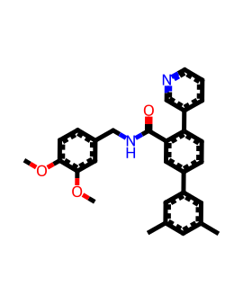 COc1ccc(CNC(=O)c2cc(-c3cc(C)cc(C)c3)ccc2-c2cccnc2)cc1OC